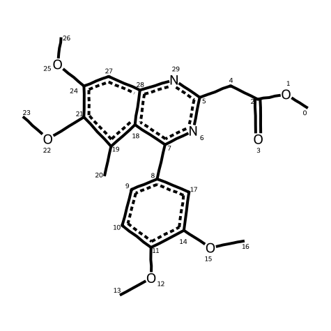 COC(=O)Cc1nc(-c2ccc(OC)c(OC)c2)c2c(C)c(OC)c(OC)cc2n1